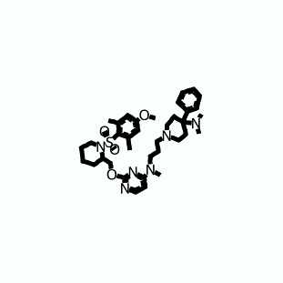 COc1cc(C)c(S(=O)(=O)N2CCCCC2COc2nccc(N(C)CCCN3CCC(c4ccccc4)(N(C)C)CC3)n2)c(C)c1